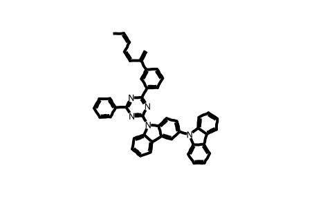 C=C(/C=C\C=C/C)c1cccc(-c2nc(-c3ccccc3)nc(-n3c4ccccc4c4cc(-n5c6ccccc6c6ccccc65)ccc43)n2)c1